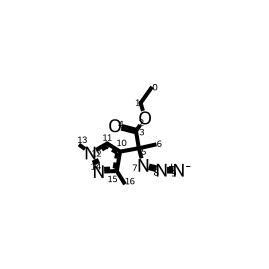 CCOC(=O)C(C)(N=[N+]=[N-])c1cn(C)nc1C